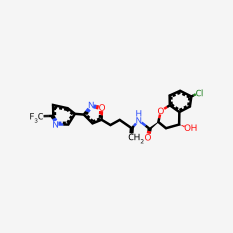 C=C(CCc1cc(-c2ccc(C(F)(F)F)nc2)no1)NC(=O)[C@@H]1C[C@@H](O)c2cc(Cl)ccc2O1